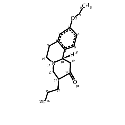 CCOc1ccc2c(c1)CCN1C[C@H](CC[19F])C(=O)C[C@@H]21